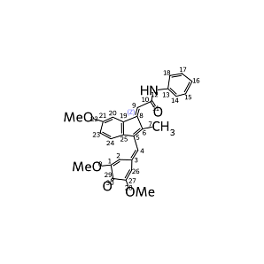 COC1=CC(=CC2=C(C)/C(=C\C(=O)Nc3ccccc3)c3cc(OC)ccc32)C=C(OC)C1=O